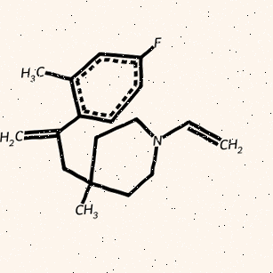 C=CN1CCC(C)(CC(=C)c2ccc(F)cc2C)CC1